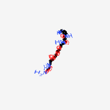 CC(=[N+]=[N-])c1cccc(NC(=O)CCC(=O)NCCCOCCOCCOCCCNC(=O)CON)c1